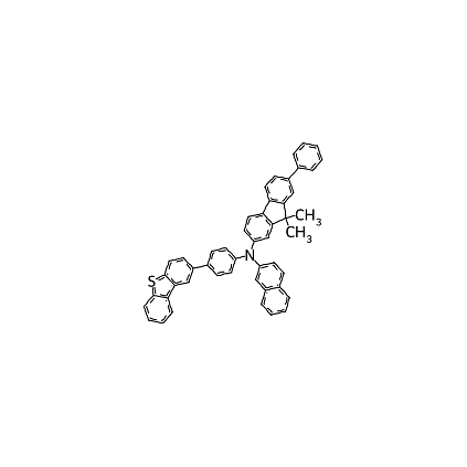 CC1(C)c2cc(-c3ccccc3)ccc2-c2ccc(N(c3ccc(-c4ccc5sc6ccccc6c5c4)cc3)c3ccc4ccccc4c3)cc21